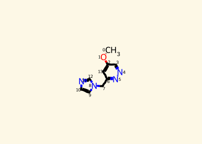 COc1cnnc(Cn2ccnc2)c1